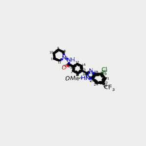 COc1cc(C(=O)NN2CCCCC2)ccc1-c1nc2c(Cl)cc(C(F)(F)F)cc2[nH]1